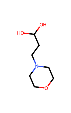 OC(O)CCN1CCOCC1